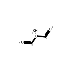 O=COC=O.[KH]